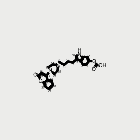 O=C(O)Oc1ccc2c(CCCCN3CCN(c4cc(=O)oc5ccccc45)CC3)c[nH]c2c1